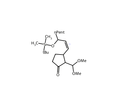 CCCCCC(/C=C\C1CCC(=O)C1C(OC)OC)O[Si](C)(C)C(C)(C)C